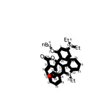 CCCCOc1cc(N(CC)CC)ccc1C1(c2c(-c3ccccc3)n(CC)c3ccccc23)OC(=O)c2cccnc21